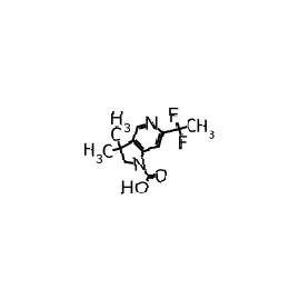 CC(F)(F)c1cc2c(cn1)C(C)(C)CN2C(=O)O